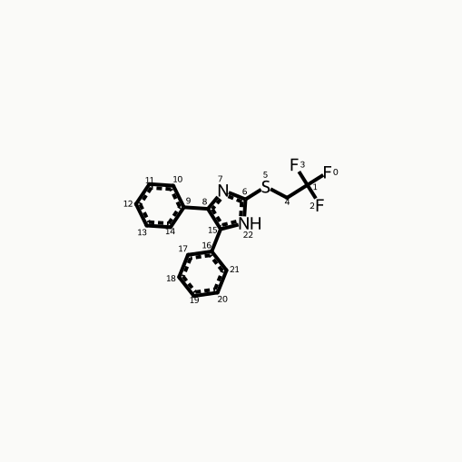 FC(F)(F)CSc1nc(-c2ccccc2)c(-c2ccccc2)[nH]1